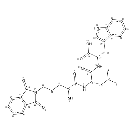 CC(C)C[C@H](NC(=O)C(S)CCCN1C(=O)c2ccccc2C1=O)C(=O)N[C@@H](Cc1c[nH]c2ccccc12)C(=O)O